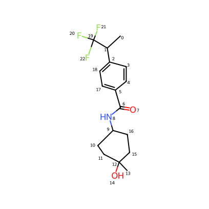 CC(c1ccc(C(=O)NC2CCC(C)(O)CC2)cc1)C(F)(F)F